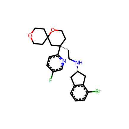 Fc1ccc([C@]2(CCN[C@H]3Cc4cccc(Br)c4C3)CCOC3(CCOCC3)C2)nc1